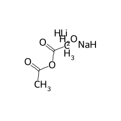 CC(=O)OC(C)=O.O.[LiH].[NaH]